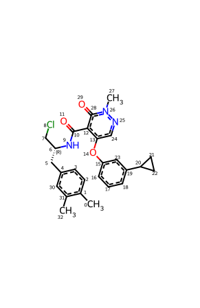 Cc1ccc(C[C@H](CCl)NC(=O)c2c(Oc3cccc(C4CC4)c3)cnn(C)c2=O)cc1C